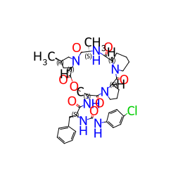 C[C@@H]1C[C@H]2C(=O)OC[C@H](NC(=O)[C@H](Cc3ccccc3)NC(=O)Nc3ccc(Cl)cc3)C(=O)N3CCC[C@H]3C(=O)N3CCCC[C@H]3C(=O)N[C@@H](C)C(=O)N2C1